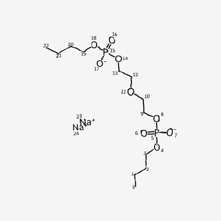 CCCCOP(=O)([O-])OCCOCCOP(=O)([O-])OCCCC.[Na+].[Na+]